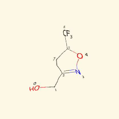 OCC1=NOC(C(F)(F)F)C1